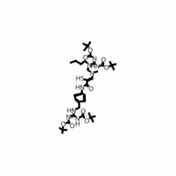 CCCCN(CN(C)/C=C(\S)C(=O)Nc1ccc(CN/C(=N/C(=O)OC(C)(C)C)NC(=O)OC(C)(C)C)cc1)/C(=N\C(=O)OC(C)(C)C)NC(=O)OC(C)(C)C